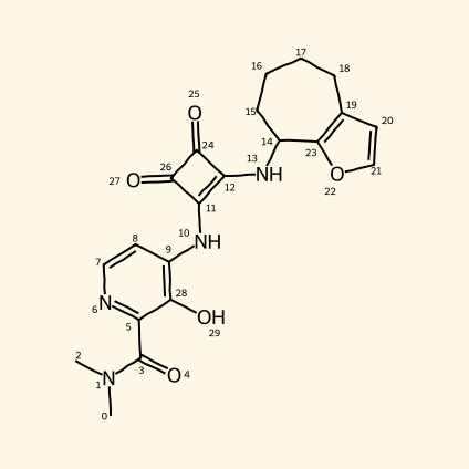 CN(C)C(=O)c1nccc(Nc2c(NC3CCCCc4ccoc43)c(=O)c2=O)c1O